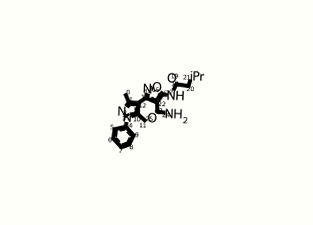 Cc1nn(-c2ccccc2)c(C)c1-c1noc(NC(=O)CC(C)C)c1C(N)=O